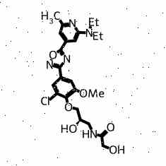 CCN(CC)c1cc(-c2nc(-c3cc(Cl)c(OC[C@H](O)CNC(=O)CO)c(OC)c3)no2)cc(C)n1